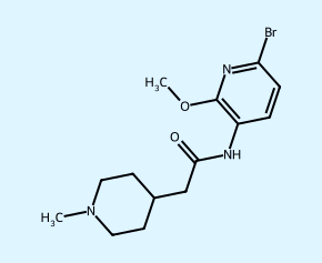 COc1nc(Br)ccc1NC(=O)CC1CCN(C)CC1